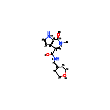 Cn1cc(C(=O)NCC2CCOCC2)c2cc[nH]c2c1=O